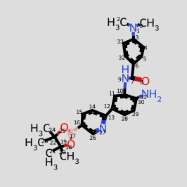 CN(C)c1ccc(C(=O)Nc2cc(-c3ccc(B4OC(C)(C)C(C)(C)O4)cn3)ccc2N)cc1